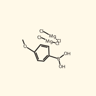 COc1ccc(B(O)O)cc1.[Cl][Mg][Cl].[Cl][Mg][Cl]